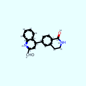 O=Cc1cc(-c2ccc3c(c2)CCNC3=O)c2ccccc2n1